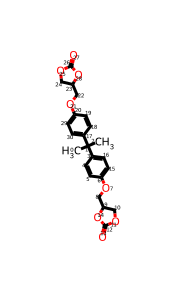 CC(C)(c1ccc(OCC2COC(=O)O2)cc1)c1ccc(OCC2COC(=O)O2)cc1